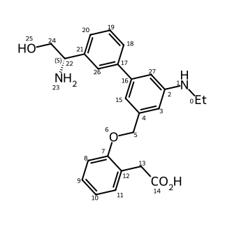 CCNc1cc(COc2ccccc2CC(=O)O)cc(-c2cccc([C@H](N)CO)c2)c1